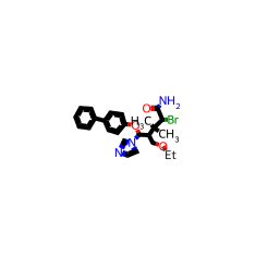 CCOCC(C(Oc1ccc(-c2ccccc2)cc1)n1ccnc1)C(C)(C)C(Br)C(N)=O